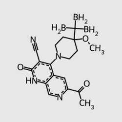 BC(B)(B)C1(OC)CCN(c2c(C#N)c(=O)[nH]c3cnc(C(C)=O)cc23)CC1